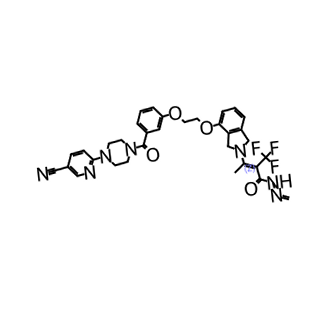 C=NNC(=O)/C(=C(\C)N1Cc2cccc(OCCOc3cccc(C(=O)N4CCN(c5ccc(C#N)cn5)CC4)c3)c2C1)C(F)(F)F